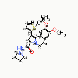 COc1cc2c(cc1OC(C)C)-c1c(-c3cccs3)cc(C(=O)NN3CCCC3)n1CC2